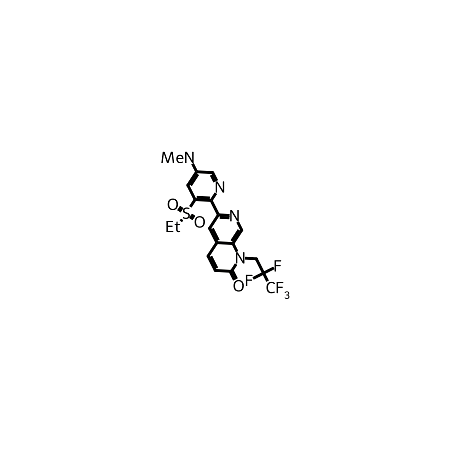 CCS(=O)(=O)c1cc(NC)cnc1-c1cc2ccc(=O)n(CC(F)(F)C(F)(F)F)c2cn1